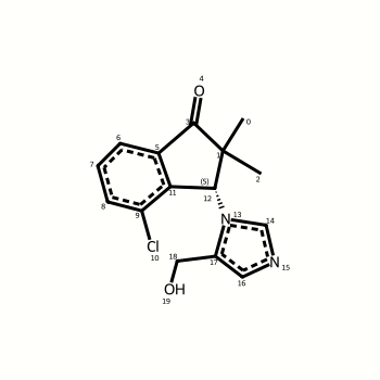 CC1(C)C(=O)c2cccc(Cl)c2[C@H]1n1cncc1CO